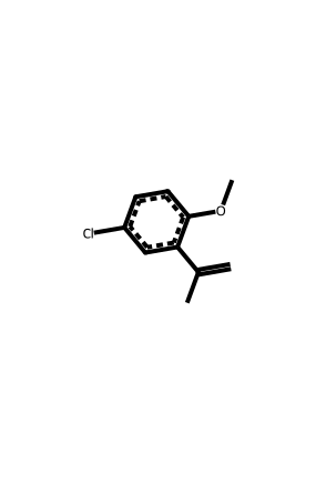 C=C(C)c1cc(Cl)ccc1OC